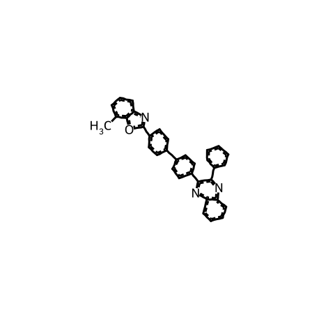 Cc1cccc2nc(-c3ccc(-c4ccc(-c5nc6ccccc6nc5-c5ccccc5)cc4)cc3)oc12